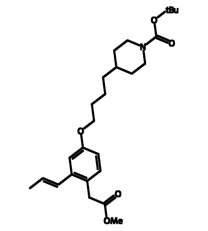 CC=Cc1cc(OCCCCC2CCN(C(=O)OC(C)(C)C)CC2)ccc1CC(=O)OC